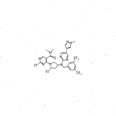 CCC1CC(N(Cc2cc(C(F)(F)F)cc(C(F)(F)F)c2)c2ncc(-c3cnn(C)c3)cn2)CN1c1nc(Cl)ncc1C(=O)N(C)C